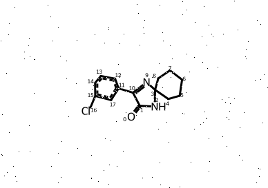 O=C1NC2(CCCCC2)N=C1c1cccc(Cl)c1